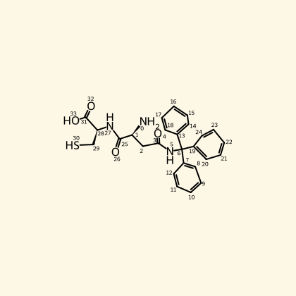 N[C@@H](CC(=O)NC(c1ccccc1)(c1ccccc1)c1ccccc1)C(=O)N[C@@H](CS)C(=O)O